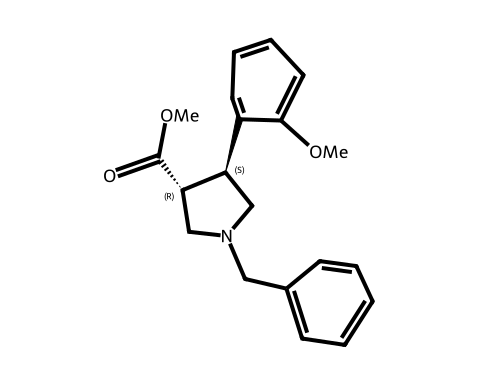 COC(=O)[C@H]1CN(Cc2ccccc2)C[C@@H]1c1ccccc1OC